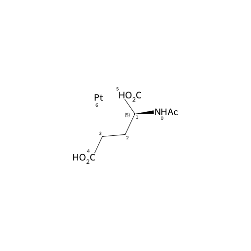 CC(=O)N[C@@H](CCC(=O)O)C(=O)O.[Pt]